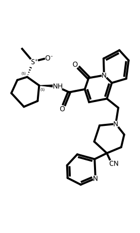 C[S+]([O-])[C@H]1CCCC[C@@H]1NC(=O)c1cc(CN2CCC(C#N)(c3ccccn3)CC2)c2ccccn2c1=O